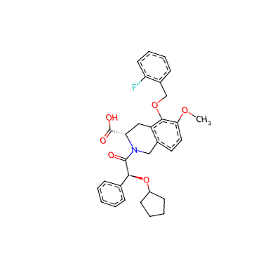 COc1ccc2c(c1OCc1ccccc1F)C[C@@H](C(=O)O)N(C(=O)[C@@H](OC1CCCC1)c1ccccc1)C2